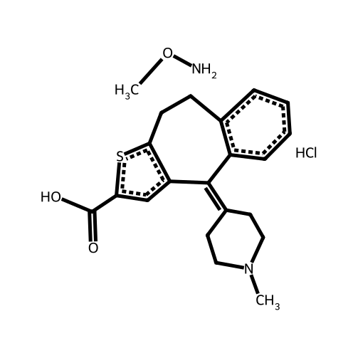 CN1CCC(=C2c3ccccc3CCc3sc(C(=O)O)cc32)CC1.CON.Cl